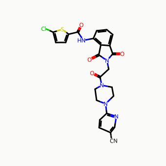 N#Cc1ccc(N2CCN(C(=O)CN3C(=O)c4cccc(NC(=O)c5ccc(Cl)s5)c4C3=O)CC2)nc1